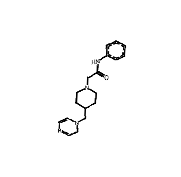 O=C(CN1CCC(CN2C=CN=CC2)CC1)Nc1ccccc1